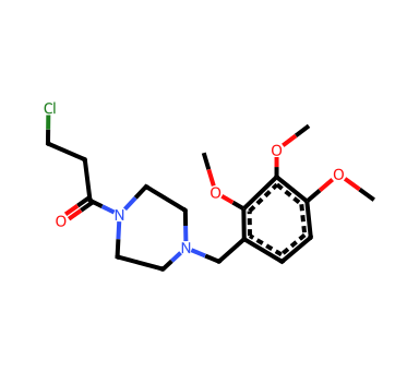 COc1ccc(CN2CCN(C(=O)CCCl)CC2)c(OC)c1OC